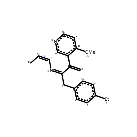 C=C(/C(Cc1ccc(CC)cc1)=N\C=C/C)c1cnccc1OC